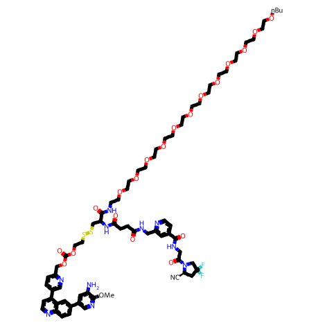 CCCCOCCOCCOCCOCCOCCOCCOCCOCCOCCOCCOCCOCCNC(=O)C(CSSCCOC(=O)OCc1ccc(-c2ccnc3ccc(-c4cnc(OC)c(N)c4)cc23)cn1)NC(=O)CCC(=O)NCc1cc(C(=O)NCC(=O)N2CC(F)(F)C[C@H]2C#N)ccn1